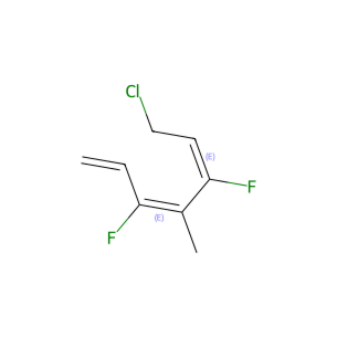 C=C/C(F)=C(C)\C(F)=C/CCl